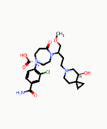 COCC(CCN1CCC2(CC2)[C@H](O)C1)N1CC[N@@+](C(=O)O)(c2ccc(C(N)=O)cc2Cl)CCC1=O